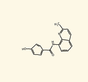 Cc1ccc2cccc(NC(=O)c3ccc(O)cc3)c2n1